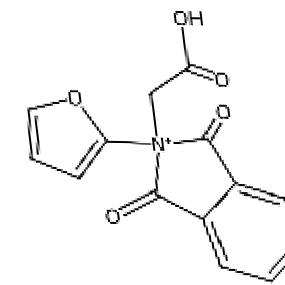 O=C(O)C[N+]1(c2ccco2)C(=O)c2ccccc2C1=O